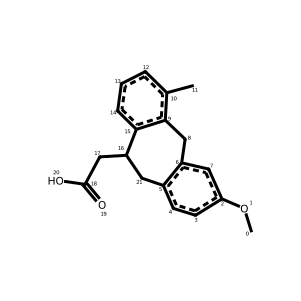 COc1ccc2c(c1)Cc1c(C)cccc1C(CC(=O)O)C2